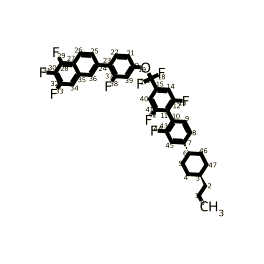 CCC[C@H]1CC[C@H](c2ccc(-c3c(F)cc(C(F)(F)Oc4ccc(-c5ccc6c(F)c(F)c(F)cc6c5)c(F)c4)cc3F)c(F)c2)CC1